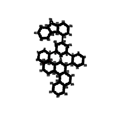 c1ccc(-c2nc(-c3ccccc3-c3cc4ccccc4c4c3ccc3ccccc34)nc(-c3cccc4oc5ccccc5c34)n2)cc1